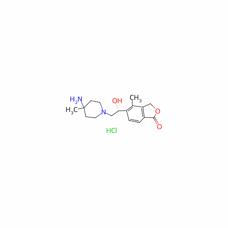 Cc1c([C@@H](O)CN2CCC(C)(N)CC2)ccc2c1COC2=O.Cl